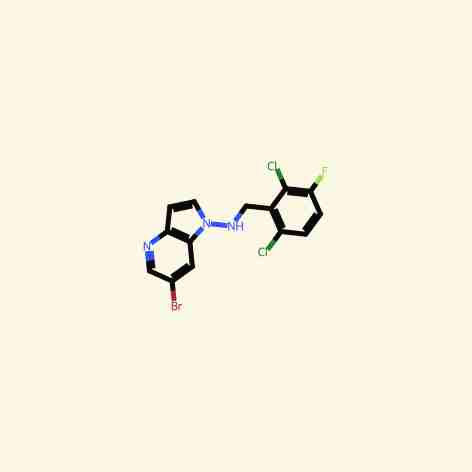 Fc1ccc(Cl)c(CNn2ccc3ncc(Br)cc32)c1Cl